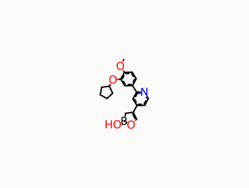 COc1ccc(-c2cc(C3=COB(O)C3)ccn2)cc1OC1CCCC1